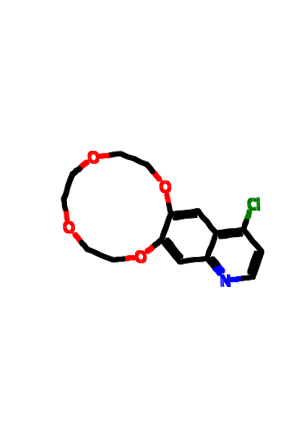 Clc1ccnc2cc3c(cc12)OCCOCCOCCO3